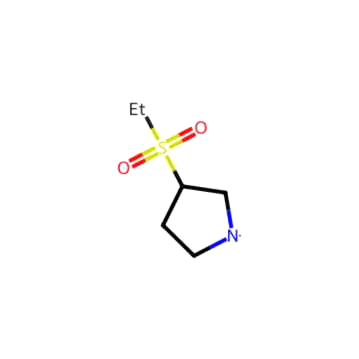 CCS(=O)(=O)C1CC[N]C1